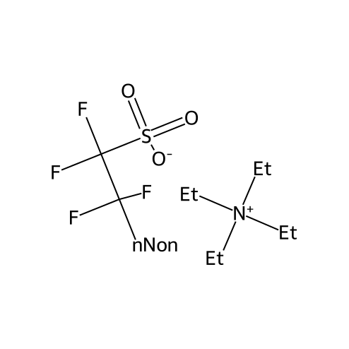 CCCCCCCCCC(F)(F)C(F)(F)S(=O)(=O)[O-].CC[N+](CC)(CC)CC